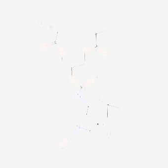 C=CC(=O)OCC(COC(=O)C(=C)C)OC(=O)NC1CC(C)(C)CC(C)(CN=C=O)C1